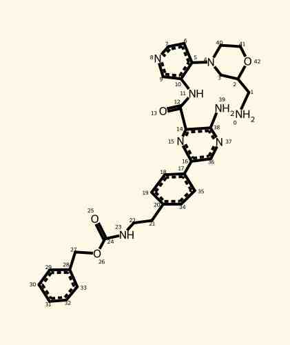 NCC1CN(c2ccncc2NC(=O)c2nc(-c3ccc(CCNC(=O)OCc4ccccc4)cc3)cnc2N)CCO1